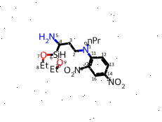 CCCN(CCC(N)[SiH](OCC)OCC)c1ccc([N+](=O)[O-])cc1[N+](=O)[O-]